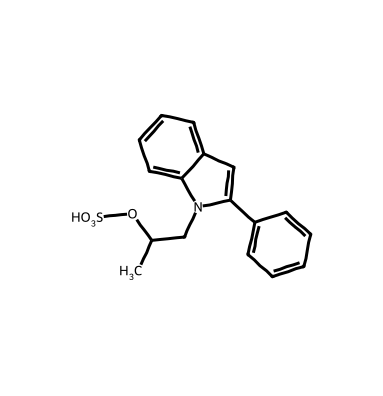 CC(Cn1c(-c2ccccc2)cc2ccccc21)OS(=O)(=O)O